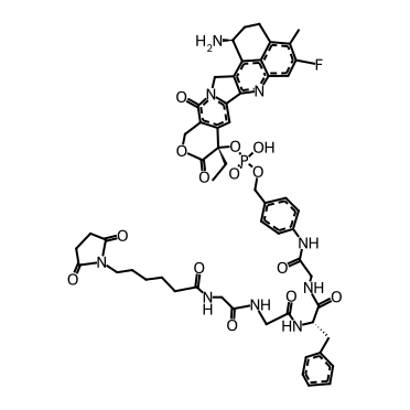 CC[C@@]1(OP(=O)(O)OCc2ccc(NC(=O)CNC(=O)[C@H](Cc3ccccc3)NC(=O)CNC(=O)CNC(=O)CCCCCN3C(=O)CCC3=O)cc2)C(=O)OCc2c1cc1n(c2=O)Cc2c-1nc1cc(F)c(C)c3c1c2[C@@H](N)CC3